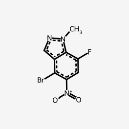 Cn1ncc2c(Br)c([N+](=O)[O-])cc(F)c21